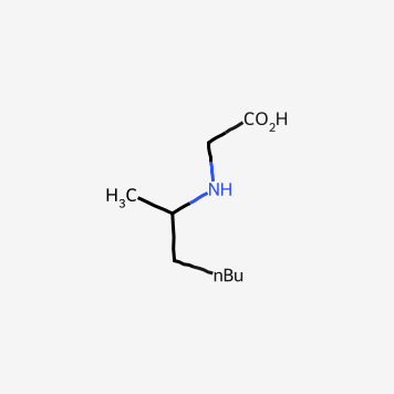 CCCCCC(C)NCC(=O)O